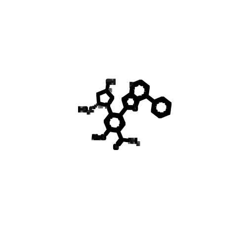 COc1cc(N2C[C@H](O)C[C@H]2C(=O)O)c(-c2cc3nccc(-c4ccccc4)c3o2)cc1C(N)=O